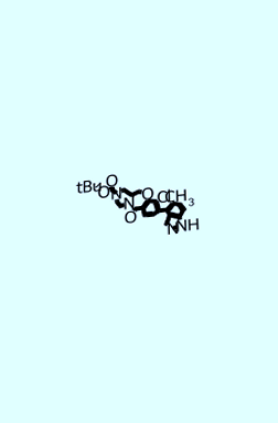 Cc1ccc2[nH]ncc2c1-c1ccc2c(c1Cl)OCC1CN(C(=O)OC(C)(C)C)CCN1C2=O